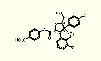 CC(C)(C)C[C@@H]1N[C@@H](C(=O)Nc2ccc(C(=O)O)cc2)[C@H](c2cccc(Cl)c2F)[C@@]1(N)c1ccc(Cl)cc1